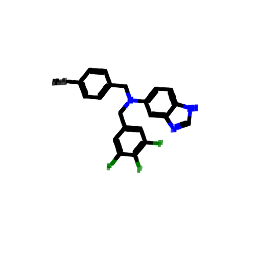 CSc1ccc(CN(Cc2cc(F)c(F)c(F)c2)c2ccc3[nH]cnc3c2)cc1